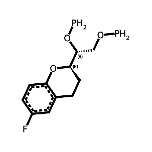 Fc1ccc2c(c1)CC[C@H]([C@@H](COP)OP)O2